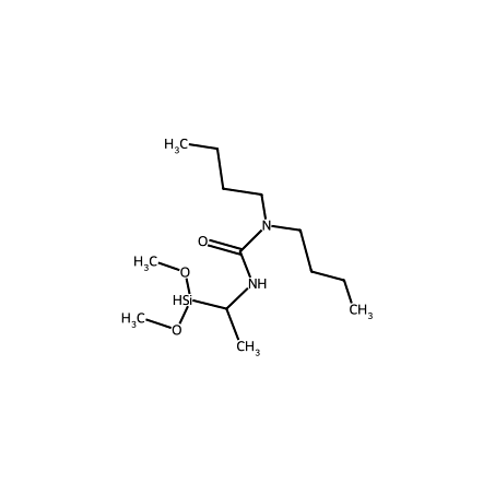 CCCCN(CCCC)C(=O)NC(C)[SiH](OC)OC